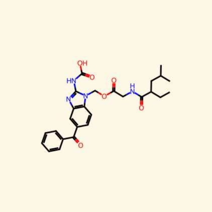 CCC(CC(C)C)C(=O)NCC(=O)OCn1c(NC(=O)O)nc2cc(C(=O)c3ccccc3)ccc21